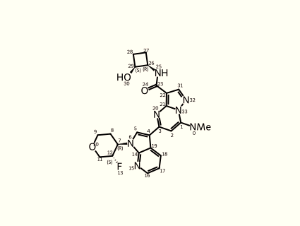 CNc1cc(-c2cn([C@@H]3CCOC[C@H]3F)c3ncccc23)nc2c(C(=O)N[C@@H]3CC[C@@H]3O)cnn12